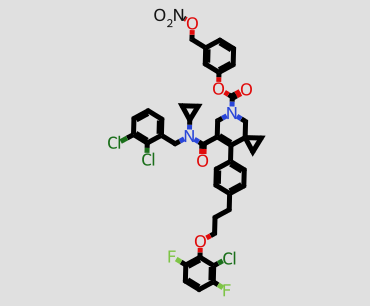 O=C(Oc1cccc(CO[N+](=O)[O-])c1)N1CC(C(=O)N(Cc2cccc(Cl)c2Cl)C2CC2)=C(c2ccc(CCCOc3c(F)ccc(F)c3Cl)cc2)C2(CC2)C1